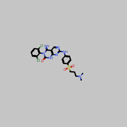 CN(C)CCCS(=O)(=O)c1ccc(Nc2ncc3c(=N)n(-c4c(Cl)cccc4Cl)c(=O)[nH]c3n2)cc1